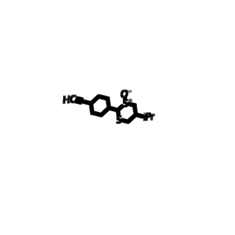 C#CC1CCC(C2SCC(C(C)C)C[S+]2[O-])CC1